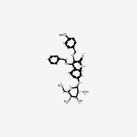 COc1ccc(COc2c(OCc3ccccc3)c3ccc(O[C@@H]4O[C@H](COC(C)=O)[C@H](OC(C)=O)[C@H](OC(C)=O)[C@H]4OC(C)=O)cc3oc2=O)cc1